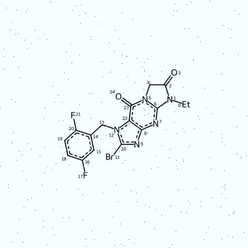 CCN1C(=O)Cn2c1nc1nc(Br)n(Cc3cc(F)ccc3F)c1c2=O